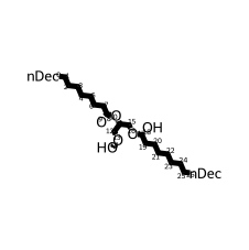 CCCCCCCCCCCCCCCCCC(=O)OC(COO)CO[C@@H](O)CCCCCCCCCCCCCCCCC